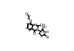 Cc1nc2c(OCC=O)cccc2c(=O)n1C1CCC(=O)NC1=O